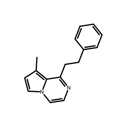 Cc1ccn2ccnc(CCc3ccccc3)c12